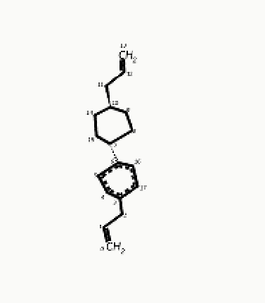 C=CCc1ccc([C@H]2CC[C@H](CC=C)CC2)cc1